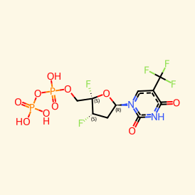 O=c1[nH]c(=O)n([C@H]2C[C@H](F)[C@@](F)(COP(=O)(O)OP(=O)(O)O)O2)cc1C(F)(F)F